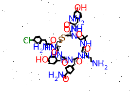 CC(C)(C)C1NC(=O)[C@H](CCCCN)NC(=O)[C@@H](Cc2ccc(C(N)=O)cc2)NC(=O)[C@H](Cc2ccc(O)cc2)NC(=O)[C@H](NC(=O)[C@@H](N)Cc2ccc(Cl)cc2)CSSC[C@@H](C(=O)N[C@H](Cc2ccc(O)cc2)C(N)=O)NC1=O